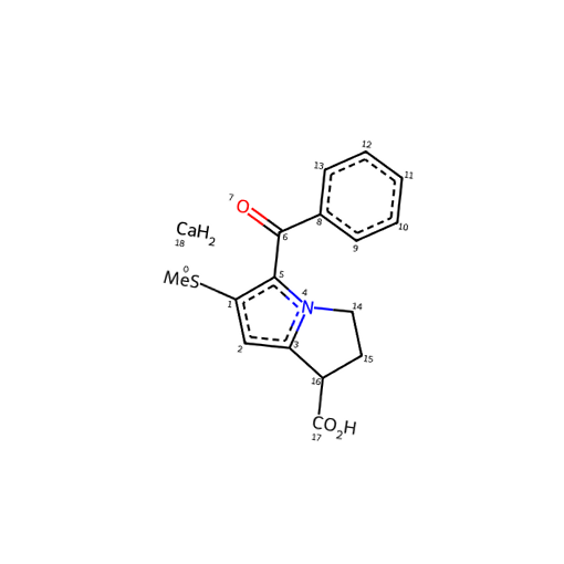 CSc1cc2n(c1C(=O)c1ccccc1)CCC2C(=O)O.[CaH2]